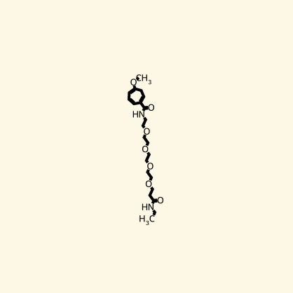 CCNC(=O)CCOCCOCCOCCOCCNC(=O)C1=CCC(OC)=CC=C1